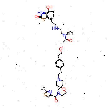 CCCN(CCNCCc1ccc(O)c2[nH]c(=O)sc12)C(=O)CCOCCc1ccc(CCN2CCC3(CC2)CN(C(=O)c2csc(CC)n2)CCO3)cc1